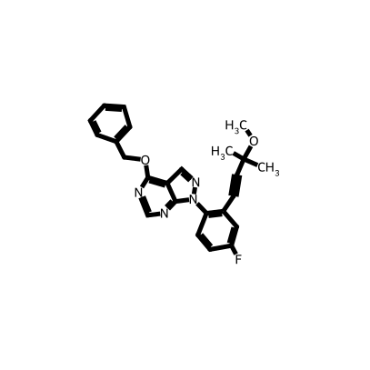 COC(C)(C)C#Cc1cc(F)ccc1-n1ncc2c(OCc3ccccc3)ncnc21